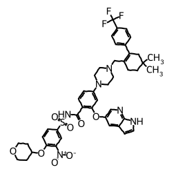 CC1(C)CCC(CN2CCN(c3ccc(C(=O)NS(=O)(=O)c4ccc(OC5CCOCC5)c([N+](=O)[O-])c4)c(Oc4cnc5[nH]ccc5c4)c3)CC2)=C(c2ccc(C(F)(F)F)cc2)C1